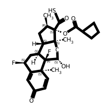 C[C@@H]1C[C@H]2[C@@H]3C[C@H](F)C4=CC(=O)C=C[C@]4(C)[C@@]3(F)[C@@H](O)C[C@]2(C)[C@]1(OC(=O)C1CCC1)C(=O)S